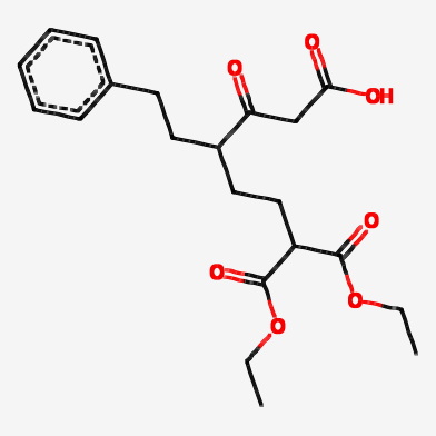 CCOC(=O)C(CCC(CCc1ccccc1)C(=O)CC(=O)O)C(=O)OCC